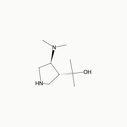 CN(C)[C@@H]1CNC[C@H]1C(C)(C)O